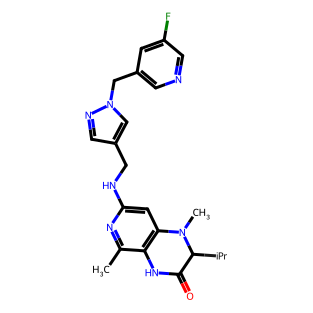 Cc1nc(NCc2cnn(Cc3cncc(F)c3)c2)cc2c1NC(=O)C(C(C)C)N2C